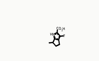 CC1CCc2c1[nH]c(C(=O)O)c2F